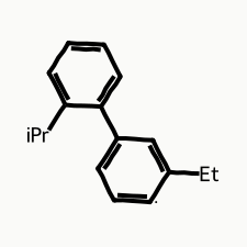 CCc1[c]ccc(-c2ccccc2C(C)C)c1